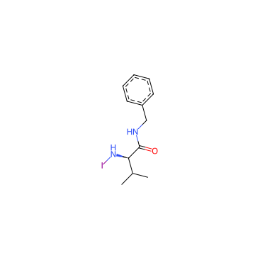 CC(C)[C@@H](NI)C(=O)NCc1ccccc1